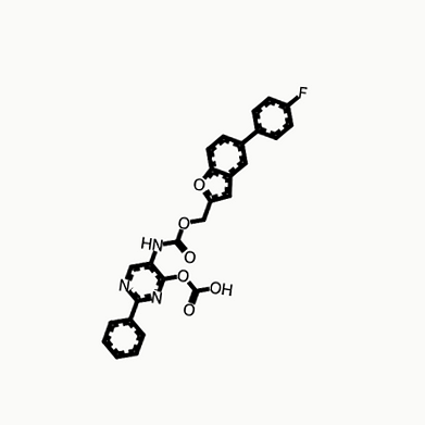 O=C(O)Oc1nc(-c2ccccc2)ncc1NC(=O)OCc1cc2cc(-c3ccc(F)cc3)ccc2o1